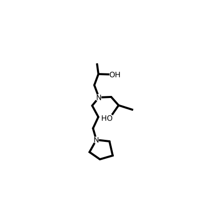 CC(O)CN(CCCN1CCCC1)CC(C)O